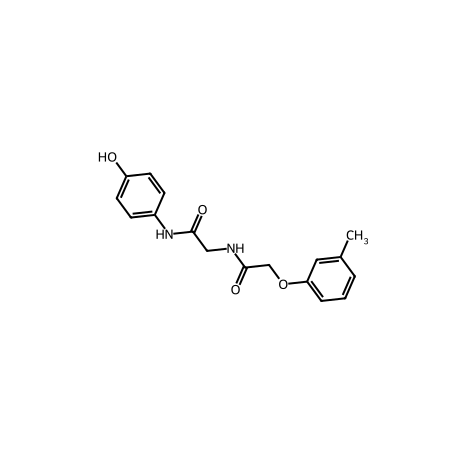 Cc1cccc(OCC(=O)NCC(=O)Nc2ccc(O)cc2)c1